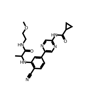 COCCNC(=O)C(C)Nc1cc(-c2cnc(NC(=O)C3CC3)cn2)ccc1C#N